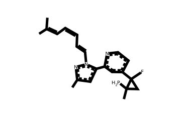 CC(C)=C/C=C\C=C\n1nc(C)cc1-c1cc(C2(F)CC2(C)P)ccn1